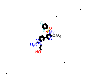 COc1ncc(-c2ccc3nc(N)n(CCCO)c3c2)cc1NS(=O)(=O)c1ccc(F)cc1F